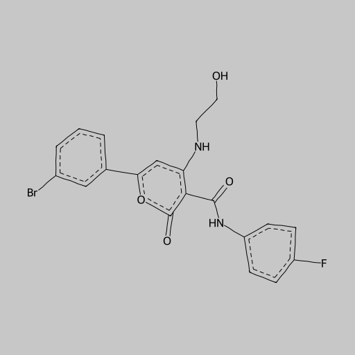 O=C(Nc1ccc(F)cc1)c1c(NCCO)cc(-c2cccc(Br)c2)oc1=O